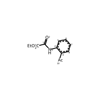 CCOC(=O)C(=O)Nc1ccccc1C(C)=O